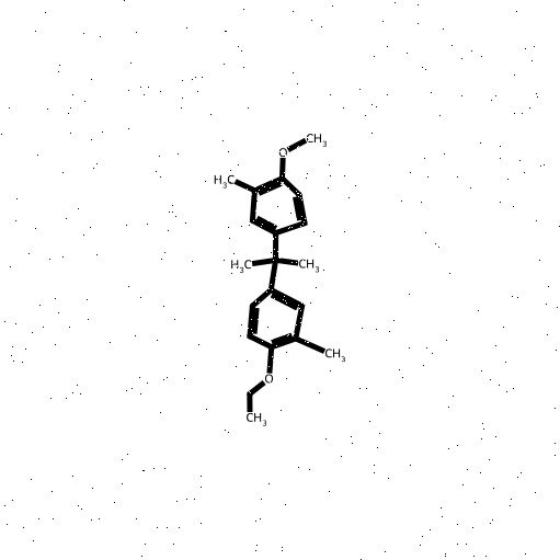 CCOc1ccc(C(C)(C)c2ccc(OC)c(C)c2)cc1C